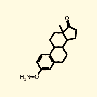 CC12CCC3c4ccc(ON)cc4CCC3C1CCC2=O